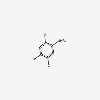 CC(=O)Nc1cc(Cl)c(F)cc1Br